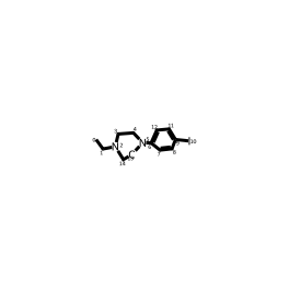 CCN1CCN(c2ccc(I)cc2)CC1